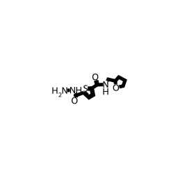 NNC(=O)c1ccc(C(=O)NCC2CCCO2)s1